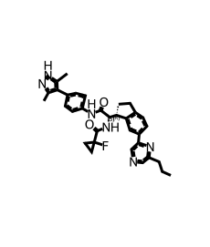 CCCc1cncc(-c2ccc3c(c2)[C@H]([C@H](NC(=O)C2(F)CC2)C(=O)Nc2ccc(-c4c(C)n[nH]c4C)cc2)CC3)n1